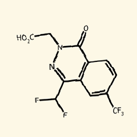 O=C(O)Cn1nc(C(F)F)c2cc(C(F)(F)F)ccc2c1=O